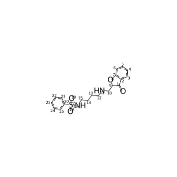 O=C1c2ccccc2OC1CNCCCCNS(=O)(=O)c1ccccc1